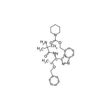 C[C@@H](OCc1ccccc1)[C@@H](NC(=O)C(C)(C)N)c1nnc2cccc(COC(=O)N3CCCCC3)n12